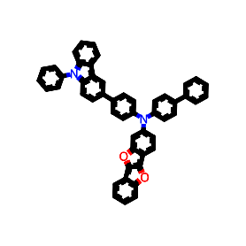 c1ccc(-c2ccc(N(c3ccc(-c4ccc5c(c4)c4ccccc4n5-c4ccccc4)cc3)c3ccc4c(c3)oc3c5ccccc5oc43)cc2)cc1